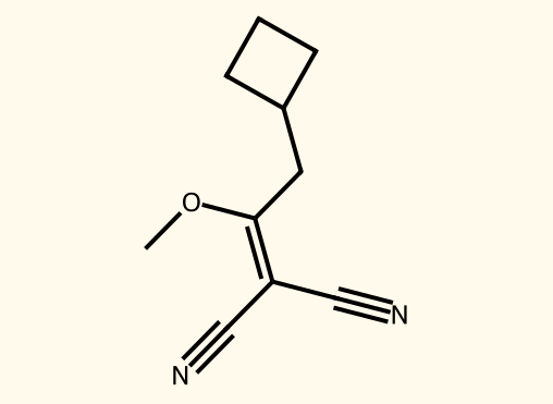 COC(CC1CCC1)=C(C#N)C#N